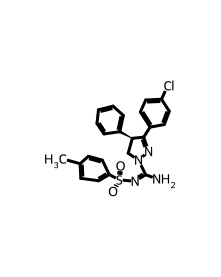 Cc1ccc(S(=O)(=O)/N=C(/N)N2C[C@@H](c3ccccc3)C(c3ccc(Cl)cc3)=N2)cc1